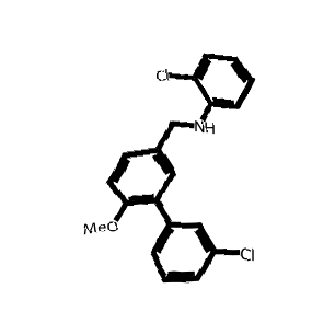 COc1ccc(CNc2ccccc2Cl)cc1-c1cccc(Cl)c1